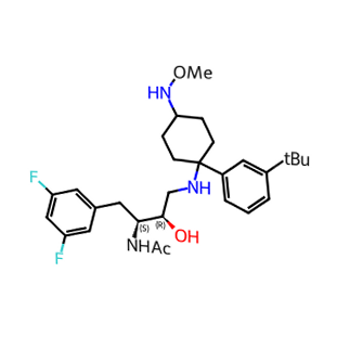 CONC1CCC(NC[C@@H](O)[C@H](Cc2cc(F)cc(F)c2)NC(C)=O)(c2cccc(C(C)(C)C)c2)CC1